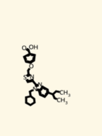 CCC(CC)c1ccc2c(c1)nc(-c1csc(COc3ccc(C(=O)O)cc3)n1)n2CC1CCCCC1